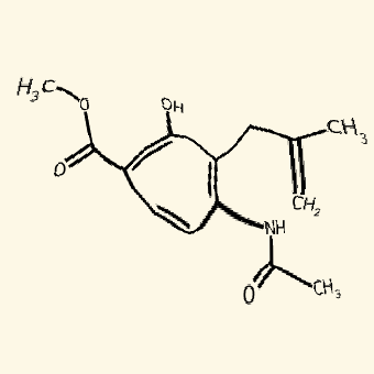 C=C(C)Cc1c(NC(C)=O)ccc(C(=O)OC)c1O